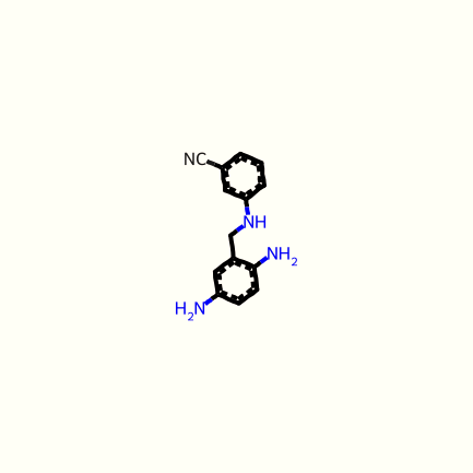 N#Cc1cccc(NCc2cc(N)ccc2N)c1